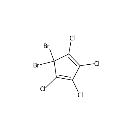 ClC1=C(Cl)C(Br)(Br)C(Cl)=C1Cl